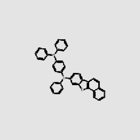 c1ccc(N(c2ccccc2)c2ccc(N(c3ccccc3)c3ccc4c(c3)oc3c5ccccc5ccc43)cc2)cc1